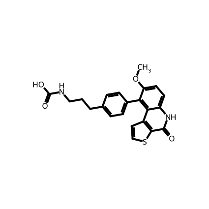 COc1ccc2[nH]c(=O)c3sccc3c2c1-c1ccc(CCCNC(=O)O)cc1